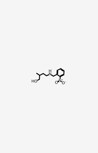 CC(CO)CCNCc1ccccc1[N+](=O)[O-]